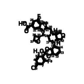 C[C@]1(c2ccc(Cl)cc2F)Oc2cccc(N3CCN(Cc4nc5c(F)cc(C(=O)O)cc5n4C[C@@H]4CCO4)[C@@H]4COC[C@@H]43)c2O1